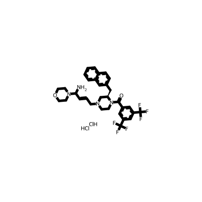 Cl.Cl.NC(/C=C/CN1CCN(C(=O)c2cc(C(F)(F)F)cc(C(F)(F)F)c2)[C@H](Cc2ccc3ccccc3c2)C1)N1CCOCC1